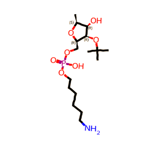 C[C@@H]1O[C@H](COP(=O)(O)OCCCCCCN)[C@H](OC(C)(C)C)[C@@H]1O